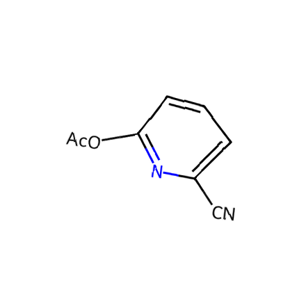 CC(=O)Oc1cccc(C#N)n1